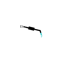 [CH2]CC#CCF